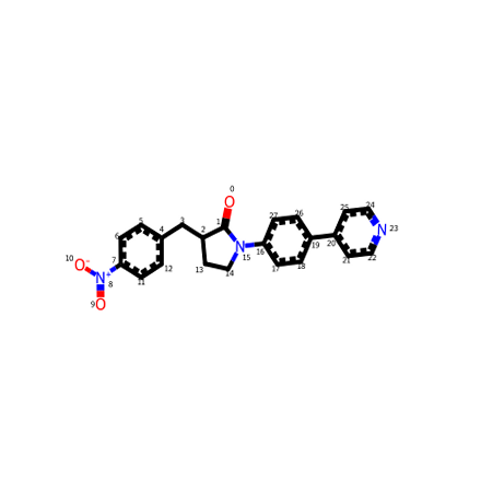 O=C1C(Cc2ccc([N+](=O)[O-])cc2)CCN1c1ccc(-c2ccncc2)cc1